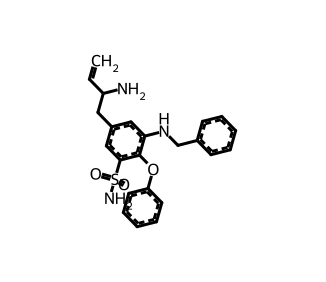 C=CC(N)Cc1cc(NCc2ccccc2)c(Oc2ccccc2)c(S(N)(=O)=O)c1